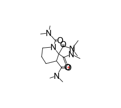 CN(C)C(=O)C1CCCN(C(=O)N(C)C)C1(C(=O)N(C)C)C(=O)N(C)C